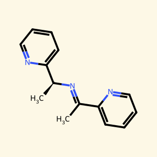 C/C(=N\[C@@H](C)c1ccccn1)c1ccccn1